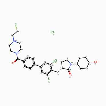 Cl.O=C(c1ccc(-c2cc(Cl)c(C[C@@H]3CCN([C@H]4CC[C@@H](O)CC4)C3=O)c(Cl)c2)cc1)N1CCN(CCF)CC1